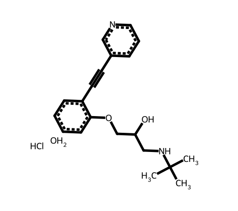 CC(C)(C)NCC(O)COc1ccccc1C#Cc1cccnc1.Cl.O